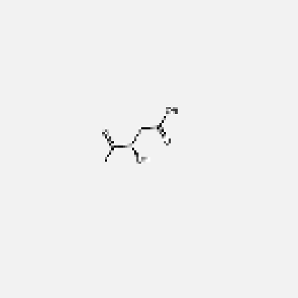 CC(=O)[C@H](O)CC(=O)O